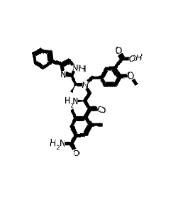 COc1ccc(CN(C[C@H](N)C(=O)c2c(C)cc(C(N)=O)cc2C)[C@@H](C)c2nc(-c3ccccc3)c[nH]2)cc1C(=O)O